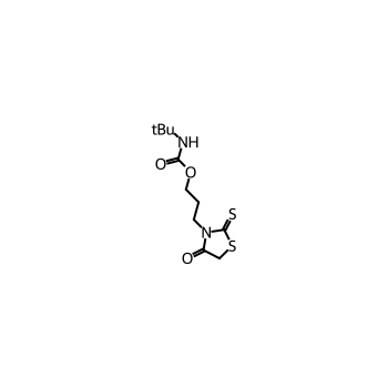 CC(C)(C)NC(=O)OCCCN1C(=O)CSC1=S